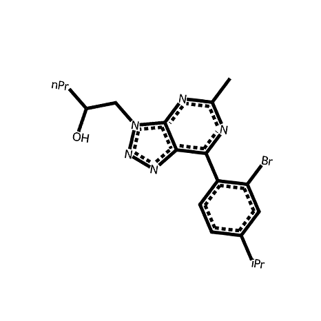 CCCC(O)Cn1nnc2c(-c3ccc(C(C)C)cc3Br)nc(C)nc21